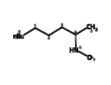 CCCCCCCC(C)N[O]